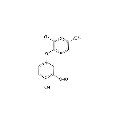 N#Cc1ccc(Oc2ccc(C(F)(F)F)cc2Cl)cc1C=O